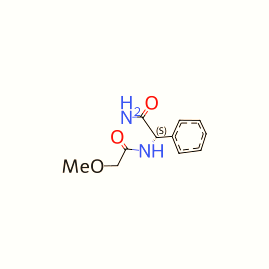 COCC(=O)N[C@H](C(N)=O)c1ccccc1